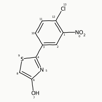 O=[N+]([O-])c1cc(-c2nc(O)cs2)ccc1Cl